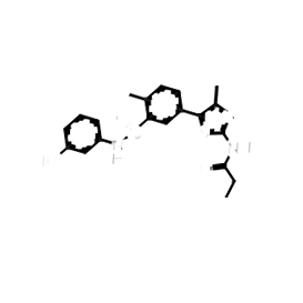 CCC(=O)Nc1nc(C)c(-c2ccc(C)c(S(=O)(=O)Nc3cccc(O)c3)c2)s1